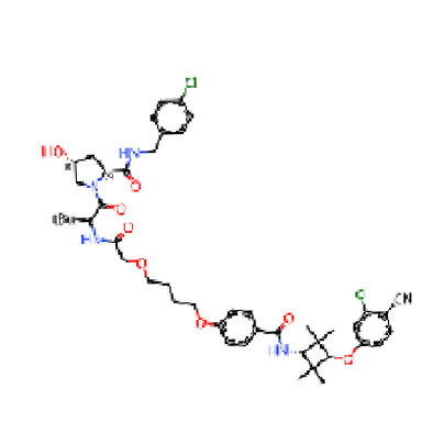 CC(C)(C)C(NC(=O)COCCCCOc1ccc(C(=O)N[C@H]2C(C)(C)[C@H](Oc3ccc(C#N)c(Cl)c3)C2(C)C)cc1)C(=O)N1C[C@H](O)C[C@H]1C(=O)NCc1ccc(Cl)cc1